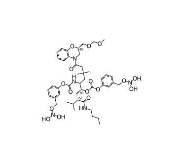 CCCCNC(=O)[C@@H](C[C@H](OC(=O)Oc1cccc(CON(O)O)c1)C(CC(C)(C)CC(=O)N1C[C@H](COCOC)Oc2ccccc21)NC(=O)Oc1cccc(CON(O)O)c1)C(C)C